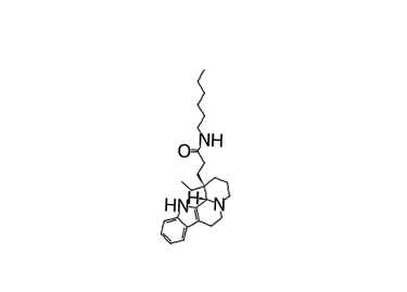 CCCCCCNC(=O)CC[C@@]1(CC)CCCN2CCc3c([nH]c4ccccc34)[C@@H]21